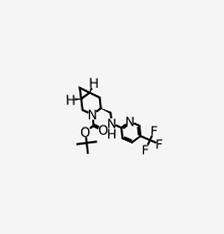 CC(C)(C)OC(=O)N1C[C@@H]2C[C@@H]2C[C@H]1CNc1ccc(C(F)(F)F)cn1